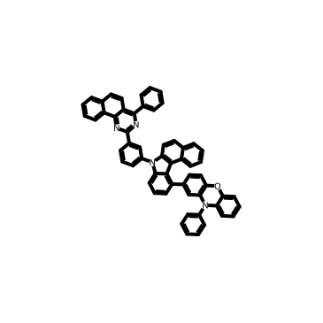 c1ccc(-c2nc(-c3cccc(-n4c5cccc(-c6ccc7c(c6)N(c6ccccc6)c6ccccc6O7)c5c5c6ccccc6ccc54)c3)nc3c2ccc2ccccc23)cc1